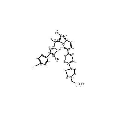 CCOC(=O)CN1CCN(c2ncc(-c3ccc4nc(CC)c(N(C)c5nc(-c6ccc(F)cc6)c(C#N)s5)n4c3)cn2)CC1